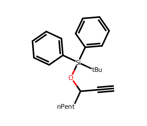 C#CC(CCCCC)O[Si](c1ccccc1)(c1ccccc1)C(C)(C)C